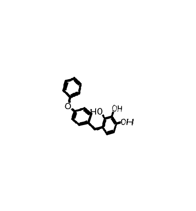 Oc1ccc(Cc2ccc(Oc3ccccc3)cc2)c(O)c1O